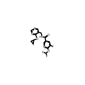 O=C(NCc1cncnc1OC1CC1)c1cnc(OC(F)F)c(F)c1